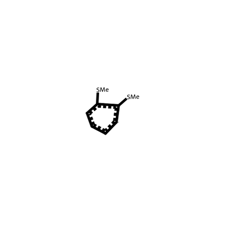 CSc1[c]cccc1SC